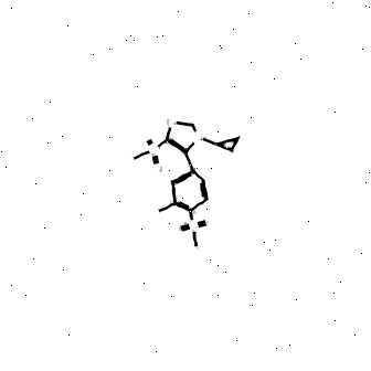 Cc1cc(C2=C(S(C)(=N)=O)NCN2C2CC2)ccc1S(C)(=O)=O